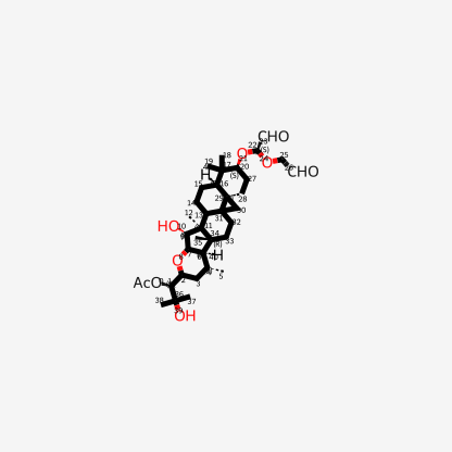 CC(=O)O[C@@H](C1C[C@@H](C)[C@H]2C(O1)[C@H](O)[C@@]1(C)C3CC[C@H]4C(C)(C)[C@@H](O[C@@H](C=O)OCC=O)CC[C@@]45CC35CC[C@]21C)C(C)(C)O